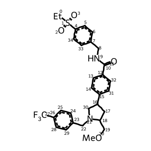 CCS(=O)(=O)c1ccc(CNC(=O)c2ccc(C3CC(COC)N(Cc4ccc(C(F)(F)F)cc4)C3)cc2)cc1